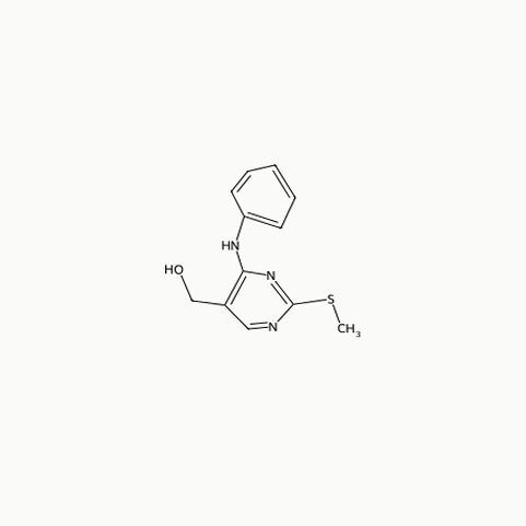 CSc1ncc(CO)c(Nc2ccccc2)n1